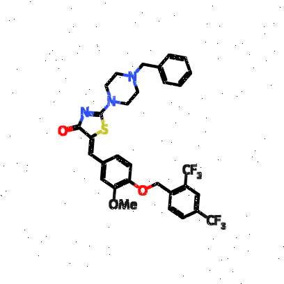 COc1cc(/C=C2\SC(N3CCN(Cc4ccccc4)CC3)=NC2=O)ccc1OCc1ccc(C(F)(F)F)cc1C(F)(F)F